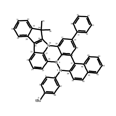 CC(C)(C)c1ccc(N2B3c4c(cc(-c5ccccc5)cc4-n4c5c(c6cccc3c64)-c3ccccc3C5(C)C)-c3c2ccc2ccccc32)cc1